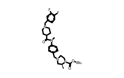 C[C@H]1CN(Cc2ccc(N(C)C(=O)C3CCN(Cc4ccc(F)c(F)c4)CC3)cc2)CCN1C(=O)OC(C)(C)C